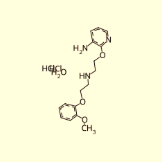 COc1ccccc1OCCNCCOc1ncccc1N.Cl.Cl.O